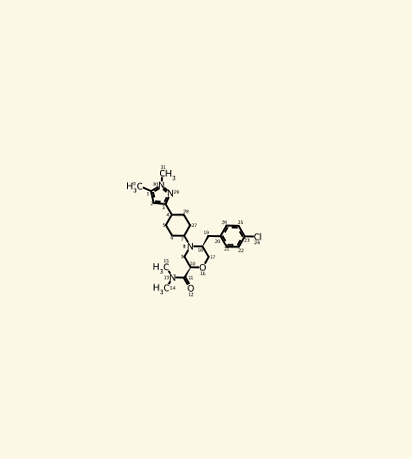 Cc1cc(C2CCC(N3C[C@H](C(=O)N(C)C)OC[C@@H]3Cc3ccc(Cl)cc3)CC2)nn1C